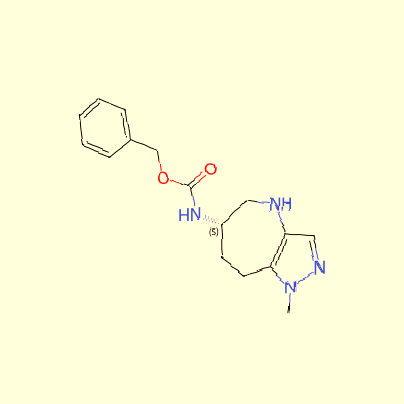 Cn1ncc2c1CC[C@H](NC(=O)OCc1ccccc1)CN2